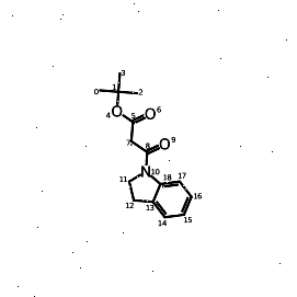 CC(C)(C)OC(=O)[CH]C(=O)N1CCc2ccccc21